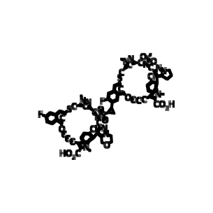 Cn1nc2cc1CSc1cc(c3cc(C4CC4S(=O)(=O)N4Cc5cc(n(C)n5)CSc5cc(c6ccc(F)cc6c5)OCCCc5c(C(=O)O)n(C)c6c(c(Cl)ccc56)-c5c(nn6c5COCC6)C4)c(F)cc3c1)OCCCc1c(C(=O)O)n(C)c3c(c(Cl)ccc13)-c1c(nn3c1CCC3)CN(S(C)(=O)=O)C2